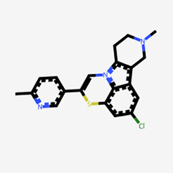 Cc1ccc(C2=Cn3c4c(c5cc(Cl)cc(c53)S2)CN(C)CC4)cn1